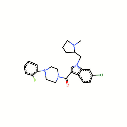 CN1CCCC1Cn1cc(C(=O)N2CCN(c3ccccc3F)CC2)c2ccc(Cl)cc21